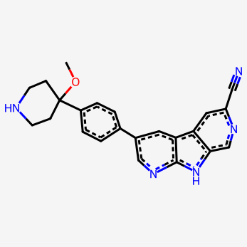 COC1(c2ccc(-c3cnc4[nH]c5cnc(C#N)cc5c4c3)cc2)CCNCC1